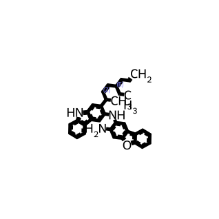 C=C/C=C(/C=C\C(C)c1cc2[nH]c3ccccc3c2cc1Nc1cc2c(cc1N)oc1ccccc12)CC